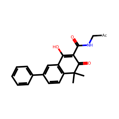 CC(=O)CNC(=O)C1=C(O)c2cc(-c3ccccc3)ccc2C(C)(C)C1=O